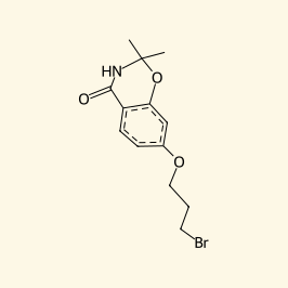 CC1(C)NC(=O)c2ccc(OCCCBr)cc2O1